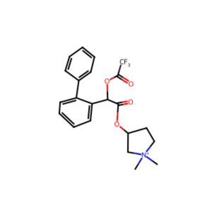 C[N+]1(C)CCC(OC(=O)C(OC(=O)C(F)(F)F)c2ccccc2-c2ccccc2)C1